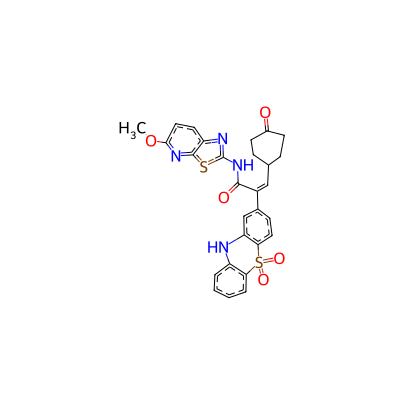 COc1ccc2nc(NC(=O)C(=CC3CCC(=O)CC3)c3ccc4c(c3)Nc3ccccc3S4(=O)=O)sc2n1